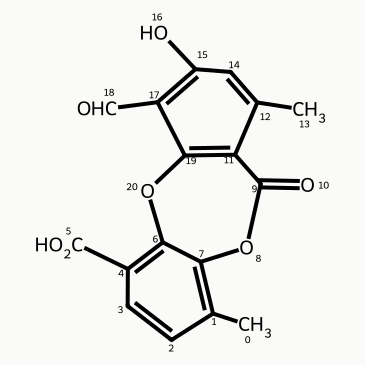 Cc1ccc(C(=O)O)c2c1OC(=O)c1c(C)cc(O)c(C=O)c1O2